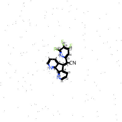 N#CC(=C1c2cccnc2-c2ncccc21)c1cc(F)c(F)c(F)n1